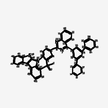 CC1(C)c2cc(-c3nc(-c4cc(-c5ccccc5)cc(-c5ccccc5)c4)c4ccccc4n3)ccc2-n2c3sc4ccccc4c3c3cccc1c32